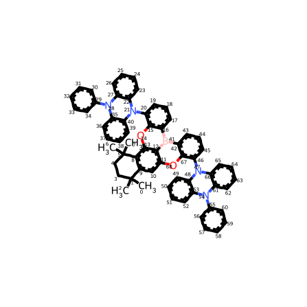 CC1(C)CCC(C)(C)c2c1cc1c3c2Oc2c(cccc2N2c4ccccc4N(c4ccccc4)c4ccccc42)B3c2cccc(N3c4ccccc4N(c4ccccc4)c4ccccc43)c2O1